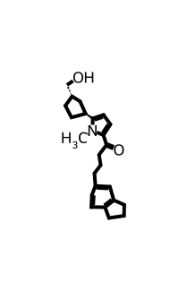 Cn1c(C(=O)CCCc2ccc3c(c2)CCC3)ccc1[C@H]1CC[C@H](CO)C1